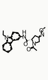 CCn1c2ccccc2c2cc(NC(=O)[C@@H]3C/C(=N\OC)CN3C(C)=O)ccc21